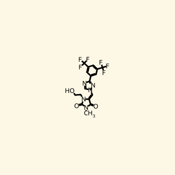 CN1C(=O)/C(=C/n2cnc(-c3cc(C(F)(F)F)cc(C(F)(F)F)c3)n2)N(CCO)C1=O